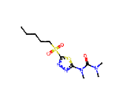 CCCCCS(=O)(=O)c1nnc(N(C)C(=O)N(C)C)s1